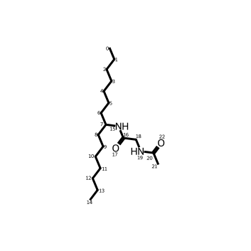 CCCCCCCC(CCCCCCC)NC(=O)CNC(C)=O